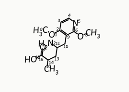 COc1ccnc(OC)c1CC(N)CC(C)C(=O)O